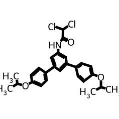 CC(C)Oc1ccc(-c2cc(NC(=O)C(Cl)Cl)cc(-c3ccc(OC(C)C)cc3)c2)cc1